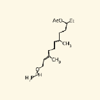 CCC(CC/C(C)=C/CC/C(C)=C/COPP)OC(C)=O